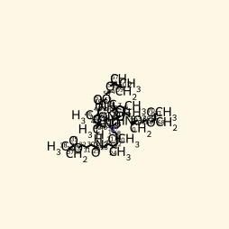 C=C(NCCC(C)CC(C)(C)CN1C(=O)O/C(=C\CC(C)(C)CC(C)CCNC(=O)CCCOC(=O)C(=C)C)N(CC(C)(C)CC(C)CCNC(=O)OCCOC(=C)C(=C)C)C1=O)OCCOC(=C)C(=C)C